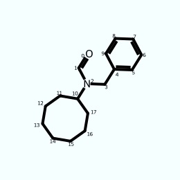 O=[C]N(Cc1ccccc1)C1CCCCCCC1